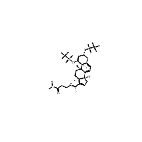 C[C@H](OCCC(=O)N(C)C)C1=CC[C@H]2C3=CC=C4C[C@@H](O[Si](C)(C)C(C)(C)C)C[C@H](O[Si](C)(C)C(C)(C)C)[C@]4(C)[C@H]3CC[C@]12C